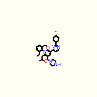 CCc1cccc(CC)c1-n1c(CC(C)C)c(C(=O)N2CCNCC2)cc(-c2ccnc(-c3ccc(Cl)cc3)n2)c1=O